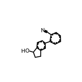 N#Cc1ccccc1-c1ccc2c(c1)CCC2O